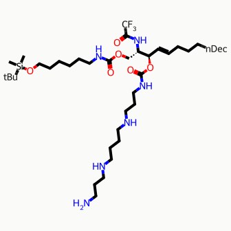 CCCCCCCCCCCCC/C=C/[C@@H](OC(=O)NCCCNCCCCNCCCN)[C@H](COC(=O)NCCCCCCO[Si](C)(C)C(C)(C)C)NC(=O)C(F)(F)F